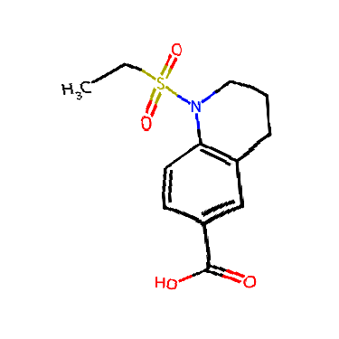 CCS(=O)(=O)N1CCCc2cc(C(=O)O)ccc21